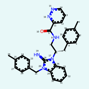 Cc1ccc(C[C@@H](CNC(=O)c2cccnn2)n2c(=N)n(Cc3ccc(C)cc3)c3ccccc32)cc1